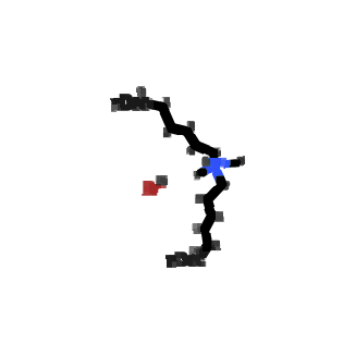 CCCCCCCCCCCCCCC[N+](C)(C)CCCCCCCCCCCCCCC.[Br-]